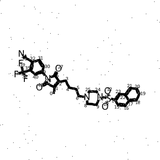 CC1=C(CCCCN2CCN(S(=O)(=O)c3ccc4ccccc4c3)CC2)C(=O)N(c2ccc(C#N)c(C(F)(F)F)c2)C1=O